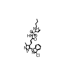 C=CC(NCCCC)S(=O)(=O)NC(=O)/C=C/c1c(C)nn(C)c1-n1nc(Cl)c2ccccc21